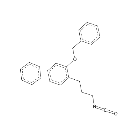 O=C=NCCCc1ccccc1OCc1ccccc1.c1ccccc1